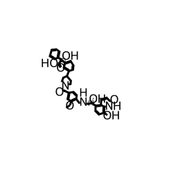 COc1cc(C(=O)N2CCC(c3cccc([C@](O)(C(=O)O)c4ccccc4)c3)CC2)ccc1CNC[C@H](O)c1ccc(O)c2[nH]c(=O)ccc12